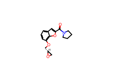 O=C(c1cc2cccc(OC[C@@H]3CO3)c2o1)N1CCCC1